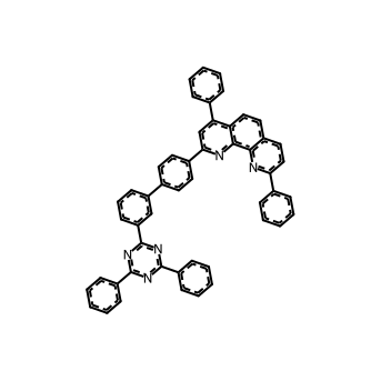 c1ccc(-c2ccc3ccc4c(-c5ccccc5)cc(-c5ccc(-c6cccc(-c7nc(-c8ccccc8)nc(-c8ccccc8)n7)c6)cc5)nc4c3n2)cc1